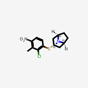 Cc1c([N+](=O)[O-])ccc(S[C@@H]2C[C@H]3CC[C@@H](C2)N3C)c1Cl